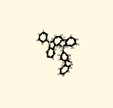 c1ccc(-n2c3ccccc3c3c2ccc2c4ccccc4n(-c4ccc5c(c4)sc4ccccc45)c23)cc1